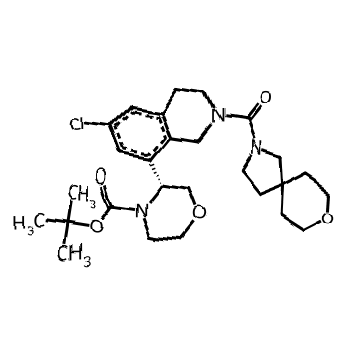 CC(C)(C)OC(=O)N1CCOC[C@H]1c1cc(Cl)cc2c1CN(C(=O)N1CCC3(CCOCC3)C1)CC2